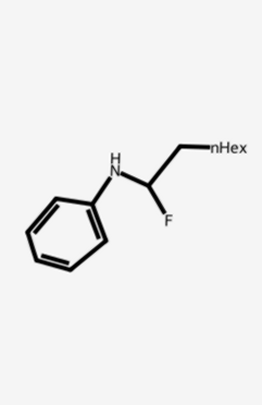 CCCCCCCC(F)Nc1ccccc1